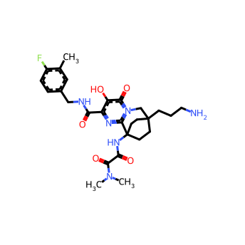 Cc1cc(CNC(=O)c2nc3n(c(=O)c2O)CC2(CCCN)CCC3(NC(=O)C(=O)N(C)C)CC2)ccc1F